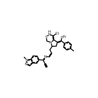 C#C/C(=N\C=C/CC1C/C(=C(/CCC)c2ccc(C)cc2)C2=C(CC)NSCN21)c1ccc2c(cnn2C)c1